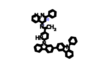 C=C(/N=C(\C=C(/N)c1ccccc1)c1ccccc1)C1=CNC(n2c3ccccc3c3ccc(-c4ccc5c(c4)c4ccccc4n5-c4ccccc4)cc32)C=C1